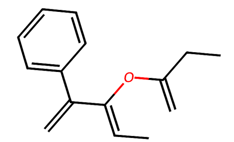 C=C(CC)O/C(=C\C)C(=C)c1ccccc1